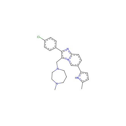 Cc1ccc(-c2ccc3nc(-c4ccc(Cl)cc4)c(CN4CCCN(C)CC4)n3c2)[nH]1